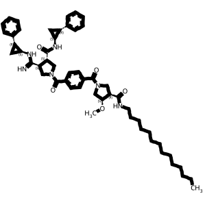 CCCCCCCCCCCCCCNC(=O)[C@@H]1CN(C(=O)c2ccc(C(=O)N3C[C@@H](C(=N)N[C@H]4C[C@@H]4c4ccccc4)[C@H](C(=O)N[C@H]4C[C@@H]4c4ccccc4)C3)cc2)C[C@H]1OC